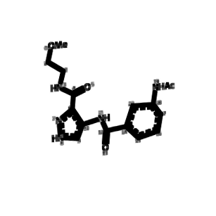 COCCNC(=O)c1n[nH]cc1NC(=O)c1cccc(NC(C)=O)c1